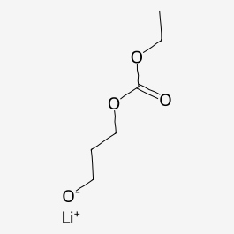 CCOC(=O)OCCC[O-].[Li+]